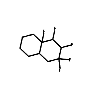 FC1C(F)C2(F)CCCCC2CC1(F)F